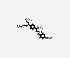 COCCN(CCOC)c1ccc([C@H](N)CNCc2ccc(OC)cc2)cc1